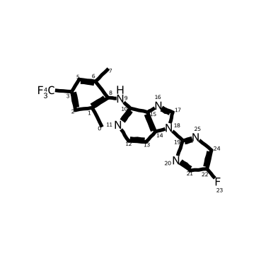 Cc1cc(C(F)(F)F)cc(C)c1Nc1nccc2c1ncn2-c1ncc(F)cn1